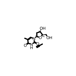 C#CC.Cc1cn([C@H]2C[C@H](O)[C@@H](CO)O2)c(=O)[nH]c1=O